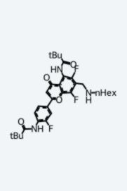 CCCCCCNCc1c(F)c(NC(=O)C(C)(C)C)c2c(=O)cc(-c3ccc(NC(=O)C(C)(C)C)c(F)c3)oc2c1F